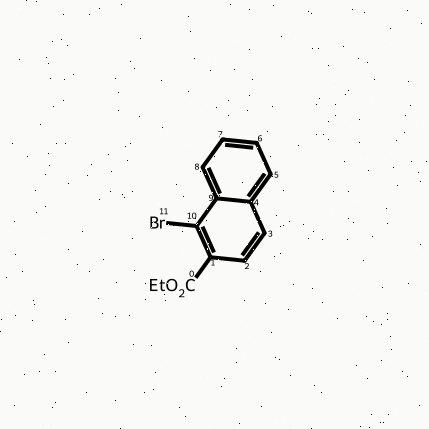 CCOC(=O)c1ccc2ccccc2c1Br